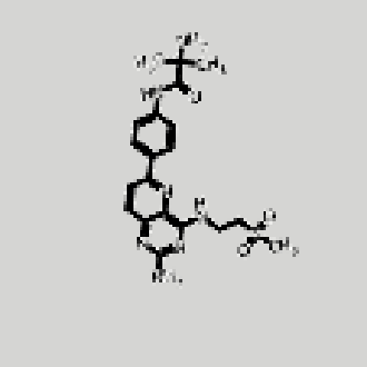 CC(C)(N)C(=O)Nc1ccc(-c2ccc3nc(N)nc(NCCS(C)(=O)=O)c3n2)cc1